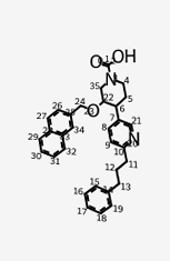 O=C(O)N1CCC(c2ccc(CCCc3ccccc3)nc2)C(OCc2ccc3ccccc3c2)C1